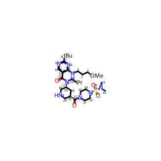 COCCCNc1nc(C(C)(C)C)ncc1C(=O)N(CC(C)C)[C@@H]1CNC[C@H](C(=O)N2CCN(S(=O)(=O)N(C)C)CC2)C1